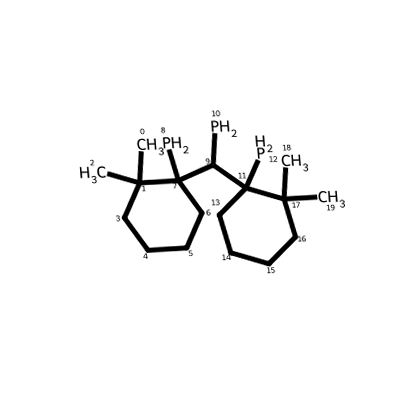 CC1(C)CCCCC1(P)C(P)C1(P)CCCCC1(C)C